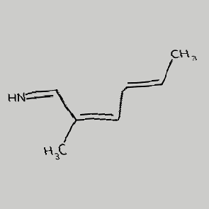 C/C=C/C=C(/C)C=N